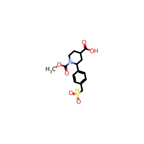 COC(=O)N1CCC(C(=O)O)CC1c1ccc(C[SH](=O)=O)cc1